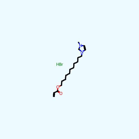 Br.C=CC(=O)OCCCCCCCCCCCN1C=CN(C)C1